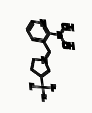 OB(O)c1ncccc1CN1CCC(C(F)(F)F)C1